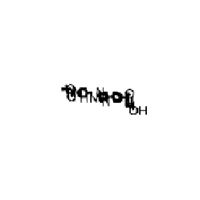 CC(C)(C)OC(=O)N1CCC(CNc2cnc(-c3ccc(C(=O)N4CC(O)C4)cc3)cn2)CC1